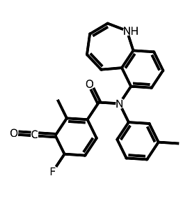 CC1=C(C(=O)N(c2cccc(C)c2)c2cccc3c2C=CC=CN3)C=CC(F)C1=C=O